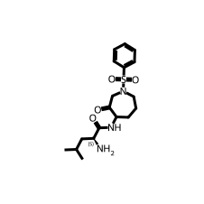 CC(C)C[C@H](N)C(=O)NC1CCCN(S(=O)(=O)c2ccccc2)CC1=O